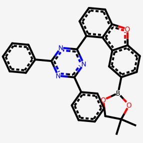 CC1(C)COB(c2ccc3oc4cccc(-c5nc(-c6ccccc6)nc(-c6ccccc6)n5)c4c3c2)O1